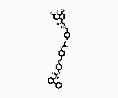 O=C(COc1ccc(CNC[C@H](O)c2ccc(O)c3[nH]c(=O)ccc23)cc1)Nc1ccc(CCN2CCC(OC(=O)Nc3ccccc3-c3ccccc3)CC2)cc1